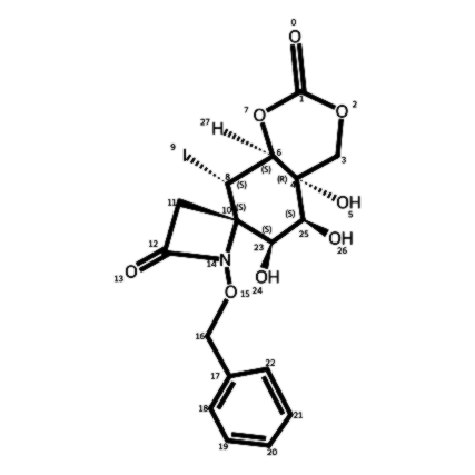 O=C1OC[C@]2(O)[C@H](O1)[C@@H](I)[C@]1(CC(=O)N1OCc1ccccc1)[C@H](O)[C@@H]2O